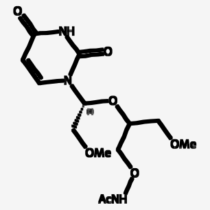 COCC(CONC(C)=O)O[C@H](COC)n1ccc(=O)[nH]c1=O